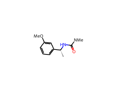 CNC(=O)N[C@H](C)c1cccc(OC)c1